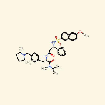 COc1ccc2cc(S(=O)(=O)N[C@H](CC(=O)N[C@H](Cc3ccc(CN4[C@H](C)CCC[C@@H]4C)cc3)C(=O)N(C)C(C)C)c3ccccc3)ccc2c1